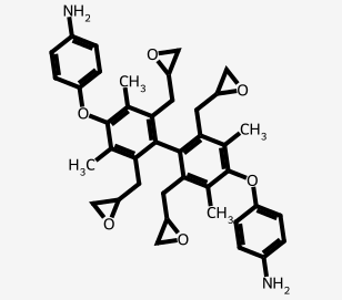 Cc1c(CC2CO2)c(-c2c(CC3CO3)c(C)c(Oc3ccc(N)cc3)c(C)c2CC2CO2)c(CC2CO2)c(C)c1Oc1ccc(N)cc1